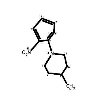 CC1CCN(c2ccccc2[N+](=O)[O-])CC1